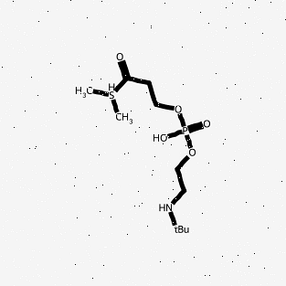 C[SH](C)C(=O)CCOP(=O)(O)OCCNC(C)(C)C